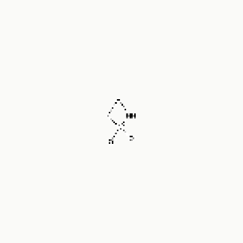 [O-][N+]1([O-])CCN1